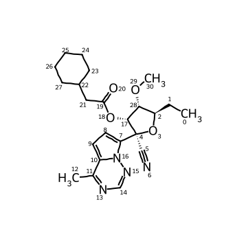 CC[C@H]1O[C@@](C#N)(c2ccc3c(C)ncnn23)[C@H](OC(=O)CC2CCCCC2)[C@@H]1OC